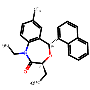 CC(C)(C)CN1C(=O)[C@H](C[C]=O)O[C@@H](c2cccc3ccccc23)c2cc(C(F)(F)F)ccc21